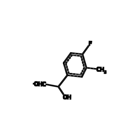 Cc1cc(C(O)[C]=O)ccc1F